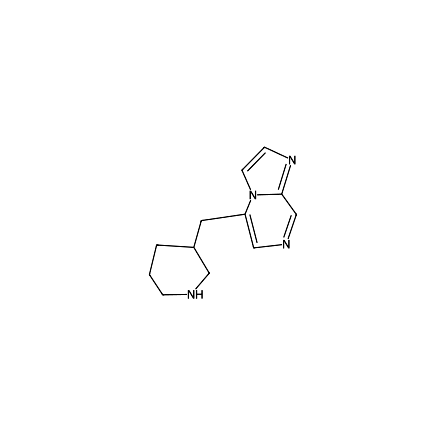 c1cn2c(CC3CCCNC3)cncc2n1